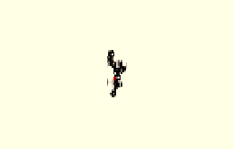 Nc1nccn2c(C34CCC(NC(=O)OCc5ccccc5)(CC3)C4)nc(-c3ccc(Oc4ccccc4)cc3)c12